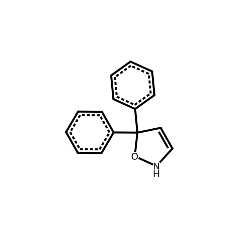 C1=CC(c2ccccc2)(c2ccccc2)ON1